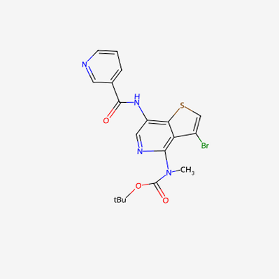 CN(C(=O)OC(C)(C)C)c1ncc(NC(=O)c2cccnc2)c2scc(Br)c12